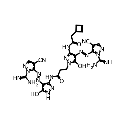 N#Cc1cnn(C(=N)N)c1N=Nc1c(NC(=O)CCn2nc(NC(=O)CC3C=CC3)c(N=Nc3c(C#N)cnn3C(=N)N)c2O)n[nH]c1O